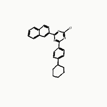 Clc1nc(-c2ccc(C3CCCCC3)cc2)nc(-c2ccc3ccccc3c2)n1